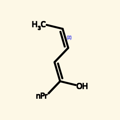 C/C=C\C=C(O)CCC